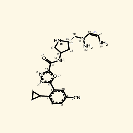 N#Cc1ccc(C2CC2)c(-c2nnc(C(=O)NC3CN[C@H](CN(N)/C=C\N)C3)o2)c1